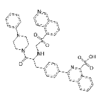 O=C(C(Cc1ccc(-c2cc3ccccc3c(S(=O)(=O)O)n2)cc1)NCS(=O)(=O)c1cccc2cnccc12)N1CCN(c2ccccc2)CC1